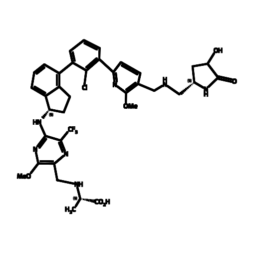 COc1nc(-c2cccc(-c3cccc4c3CC[C@@H]4Nc3nc(OC)c(CN[C@@H](C)C(=O)O)nc3C(F)(F)F)c2Cl)ccc1CNC[C@@H]1CC(O)C(=O)N1